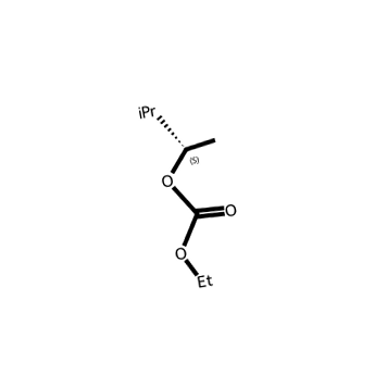 CCOC(=O)O[C@@H](C)C(C)C